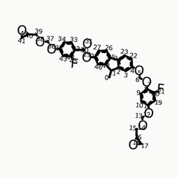 CC1c2cc(OCOc3ccc(OCOCC4CO4)cc3F)ccc2-c2ccc(OC(=O)c3ccc(OCOCC4CO4)cc3F)cc21